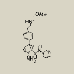 COCCNCCc1ccc(-c2cnc(N)c(C(=O)Nc3cccnc3)n2)cc1